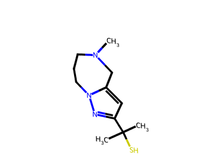 CN1CCCn2nc(C(C)(C)S)cc2C1